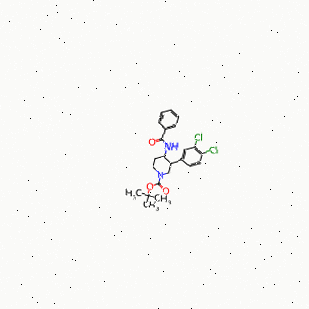 CC(C)(C)OC(=O)N1CCC(NC(=O)c2ccccc2)C(c2ccc(Cl)c(Cl)c2)C1